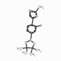 Cc1ncc(-c2ccc(B3OC(C)(C)C(C)(C)O3)cc2F)s1